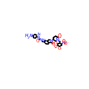 COc1cc(CN2C(=O)CCC(N3Cc4cc(CNC(=O)Nc5ccc(N)cc5)ccc4C3=O)C2=O)c([N+](=O)[O-])cc1OC